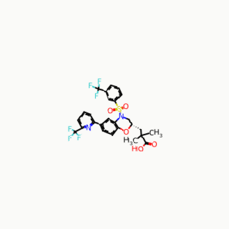 CC(C)(C[C@H]1CN(S(=O)(=O)c2cccc(C(F)(F)F)c2)c2cc(-c3cccc(C(F)(F)F)n3)ccc2O1)C(=O)O